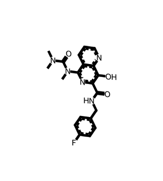 CN(C)C(=O)N(C)c1nc(C(=O)NCc2ccc(F)cc2)c(O)c2ncccc12